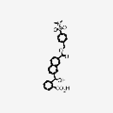 CN(C)S(=O)(=O)c1ccc(COC(=O)c2ccc3ccc(C(O)c4ccccc4C(=O)O)cc3c2)cc1